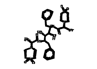 CC(C)C(C(=O)NC(Cc1ccccc1)C(O)C(O)C(Cc1ccccc1)NC(=O)C(C(C)C)N1C=CS(=O)(=O)C=C1)N1C=CS(=O)(=O)C=C1